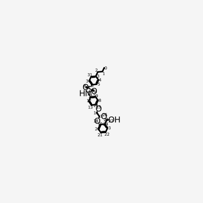 CCCc1ccc(S(=O)(=O)Nc2ccc(OCCOc3ccccc3C(=O)O)cc2)cc1